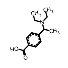 CCN(CC)C(C)c1ccc(C(=O)O)cc1